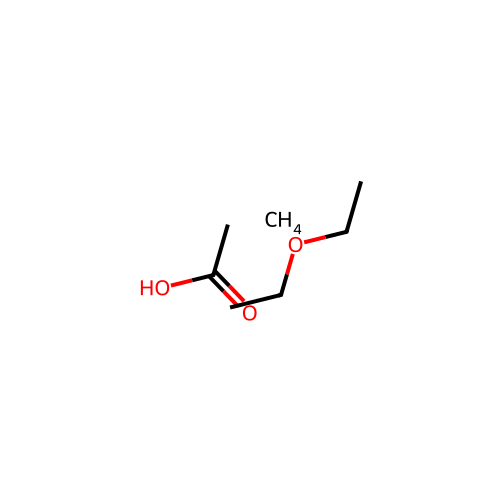 C.CC(=O)O.CCOCC